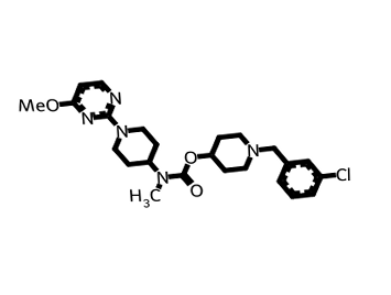 COc1ccnc(N2CCC(N(C)C(=O)OC3CCN(Cc4cccc(Cl)c4)CC3)CC2)n1